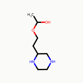 CC(O)OCCC1CNCCN1